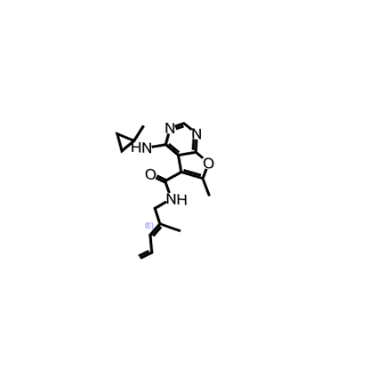 C=C/C=C(\C)CNC(=O)c1c(C)oc2ncnc(NC3(C)CC3)c12